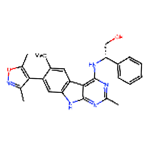 COc1cc2c(cc1-c1c(C)noc1C)[nH]c1nc(C)nc(N[C@H](CO)c3ccccc3)c12